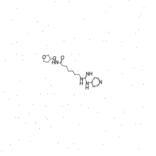 N=C(NCCCCCCC(=O)NOC1CCOC1)Nc1ccncc1